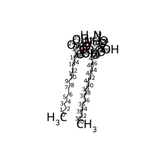 CCCCCCCCCCCCCCCCCCC(CC(N)=O)(C(=O)O)S(=O)(=O)O.CCCCCCCCCCCCCCCCCCOC(=O)C(CC(N)=O)S(=O)(=O)O